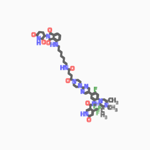 C[C@@H]1CN(c2cc(F)c(-c3cnc(N4CCN(C(=O)CCC(=O)NCCCCCCCNc5cccc6c5C(=O)N(C5CCC(=O)NC5=O)C6=O)CC4)nc3)cc2NC(=O)c2c[nH]c(=O)cc2C(F)(F)F)C[C@H](C)N1C